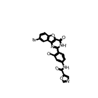 O=C(Nc1ccc(-c2nc3c(oc4ccc(Br)cc43)c(=O)[nH]2)c(Cl)c1)c1cnco1